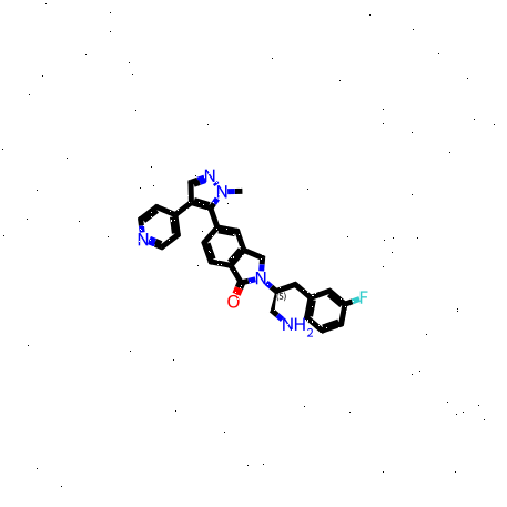 Cn1ncc(-c2ccncc2)c1-c1ccc2c(c1)CN([C@H](CN)Cc1cccc(F)c1)C2=O